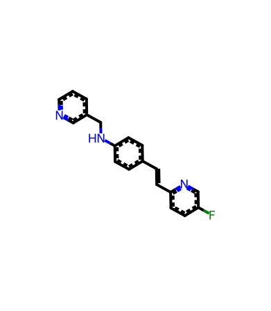 Fc1ccc(/C=C/c2ccc(NCc3cccnc3)cc2)nc1